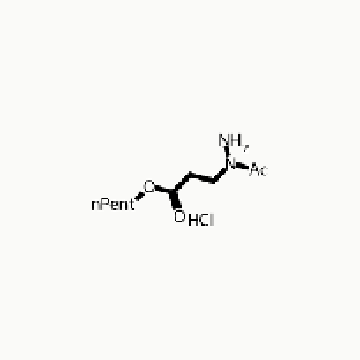 CCCCCOC(=O)CCN(N)C(C)=O.Cl